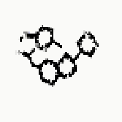 C/N=c1/ccc(C)nn1C(=N)Cc1ccc2ncc(-c3cncnc3)cc2c1